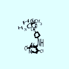 CC1(C)OB(c2ccc(Nc3nc(Cl)ncc3Cl)cc2)OC1(C)C